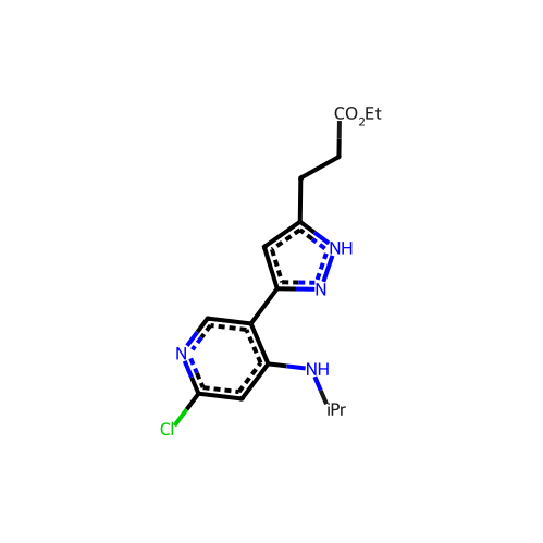 CCOC(=O)CCc1cc(-c2cnc(Cl)cc2NC(C)C)n[nH]1